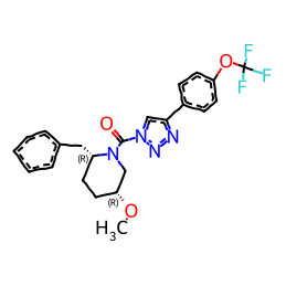 CO[C@@H]1CC[C@H](Cc2ccccc2)N(C(=O)n2cc(-c3ccc(OC(F)(F)F)cc3)nn2)C1